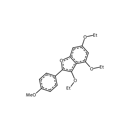 CCOc1cc(OCC)c2c(OCC)c(-c3ccc(OC)cc3)oc2c1